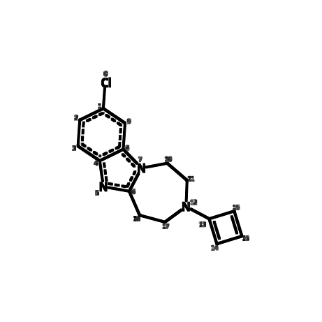 Clc1ccc2nc3n(c2c1)CCN(C1=CC=C1)CC3